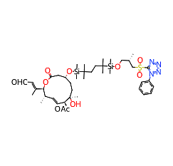 CC(=O)O[C@H]1/C=C/[C@H](C)[C@@H](/C(C)=C/C=O)OC(=O)C[C@H](O[Si](C)(C)C(C)(C)CCC(C)(C)[Si](C)(C)OC[C@H](C)CS(=O)(=O)c2nnnn2-c2ccccc2)CC[C@@]1(C)O